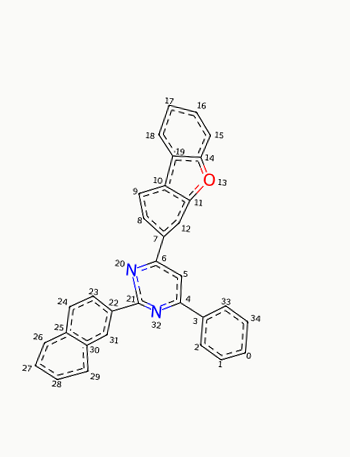 c1ccc(-c2cc(-c3ccc4c(c3)oc3ccccc34)nc(-c3ccc4ccccc4c3)n2)cc1